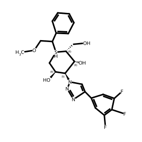 COCC(c1ccccc1)[SH]1C[C@H](O)[C@H](n2cc(-c3cc(F)c(F)c(F)c3)nn2)[C@@H](O)[C@H]1CO